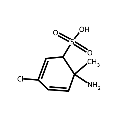 CC1(N)C=CC(Cl)=CC1S(=O)(=O)O